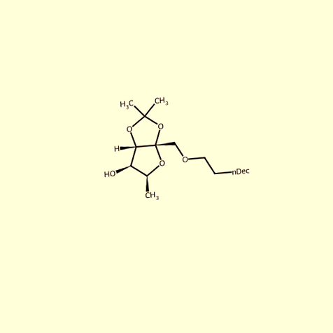 CCCCCCCCCCCCOC[C@@]12O[C@@H](C)[C@@H](O)[C@@H]1OC(C)(C)O2